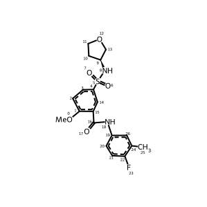 COc1ccc(S(=O)(=O)N[C@H]2CCOC2)cc1C(=O)Nc1ccc(F)c(C)c1